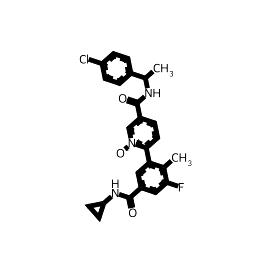 Cc1c(F)cc(C(=O)NC2CC2)cc1-c1ccc(C(=O)NC(C)c2ccc(Cl)cc2)c[n+]1[O-]